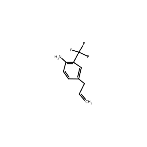 C=CCc1ccc(N)c(C(F)(F)F)c1